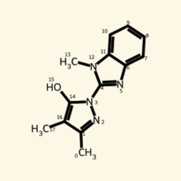 Cc1nn(-c2nc3ccccc3n2C)c(O)c1C